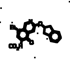 CCn1cc(C(=O)O)c(=O)c2cc(OC3Cc4ccccc4C3)ncc21